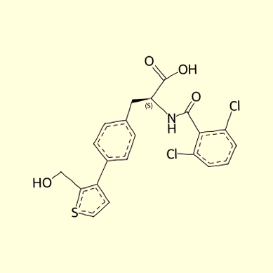 O=C(N[C@@H](Cc1ccc(-c2ccsc2CO)cc1)C(=O)O)c1c(Cl)cccc1Cl